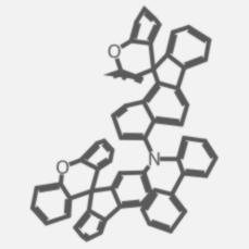 c1ccc(-c2ccccc2N(c2ccc3c(c2)C2(c4ccccc4Oc4ccccc42)c2ccccc2-3)c2cccc3c4c(ccc23)-c2ccccc2C42c3ccccc3Oc3ccccc32)cc1